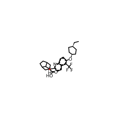 CC[C@H]1CC[C@@H](Oc2ccc3nc(NC4C5CCC4CC(C(=O)O)C5)ccc3c2C(F)(F)F)CC1